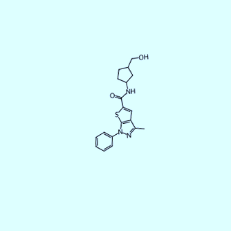 Cc1nn(-c2ccccc2)c2sc(C(=O)NC3CCC(CO)C3)cc12